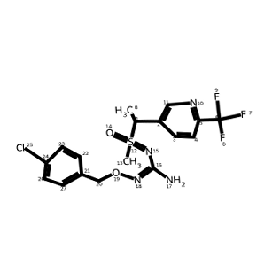 CC(c1ccc(C(F)(F)F)nc1)S(C)(=O)=N/C(N)=N\OCc1ccc(Cl)cc1